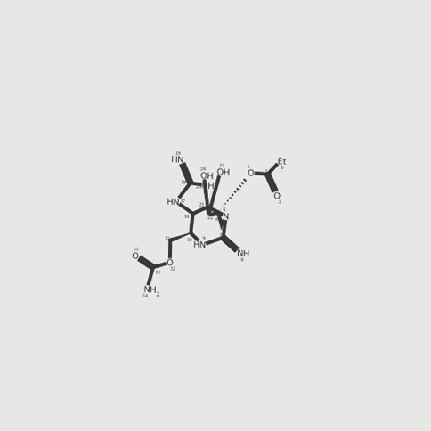 CCC(=O)O[C@@H]1CN2C(=N)N[C@@H](COC(N)=O)C3NC(=N)N[C@@]32C1(O)O